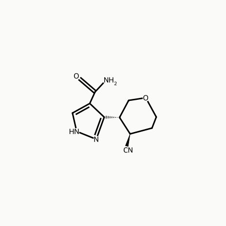 N#C[C@@H]1CCOC[C@H]1c1n[nH]cc1C(N)=O